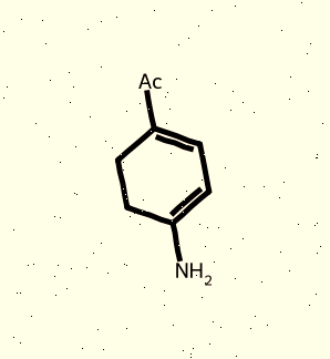 CC(=O)C1=CC=C(N)CC1